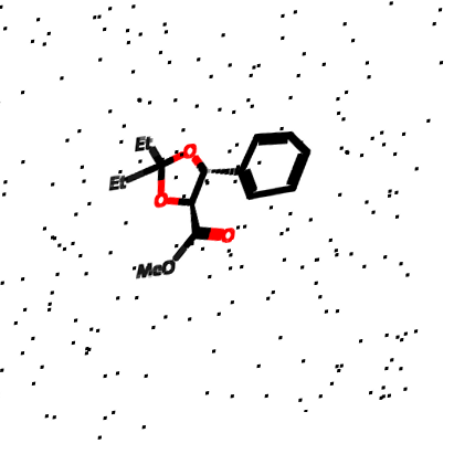 CCC1(CC)O[C@H](C(=O)OC)[C@@H](c2ccccc2)O1